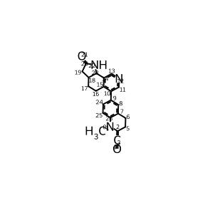 CN1C(=C=O)CCc2cc(-c3cncc4c3CCC3CC(=O)NC43)ccc21